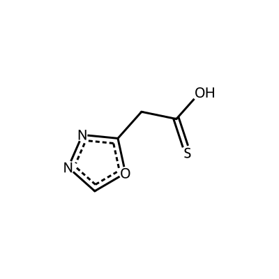 OC(=S)Cc1nnco1